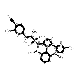 COc1cccc(OC)c1-n1c(NS(=O)(=O)[C@@H](C)[C@H](O)c2ccc(C#N)c(C)n2)nnc1-c1ccc(C)o1